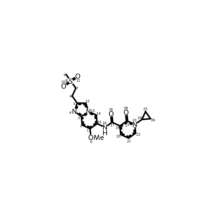 COc1cc2nc(CCS(C)(=O)=O)cn2cc1NC(=O)c1cccn(C2CC2)c1=O